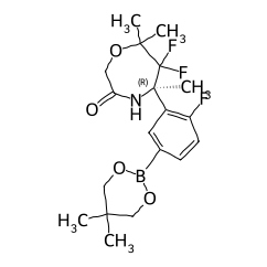 CC1(C)COB(c2ccc(F)c([C@@]3(C)NC(=O)COC(C)(C)C3(F)F)c2)OC1